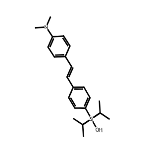 CC(C)[Si](O)(c1ccc(C=Cc2ccc(N(C)C)cc2)cc1)C(C)C